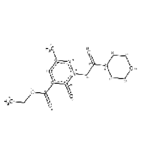 CCOC(=O)c1cc(C)nn(CC(=O)N2CCOCC2)c1=O